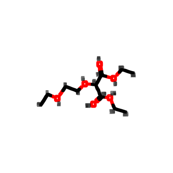 CCOCCOC(C(=O)OCC)C(=O)OCC